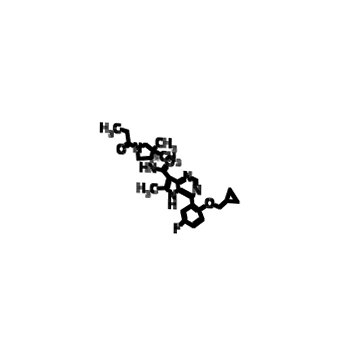 CCC(=O)N1C[C@@H](NC(=O)c2c(C)[nH]c3c(-c4cc(F)ccc4OCC4CC4)ncnc23)C(C)(C)C1